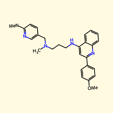 CNc1ccc(CN(C)CCCNc2cc(-c3ccc(OC)cc3)nc3ccccc23)cn1